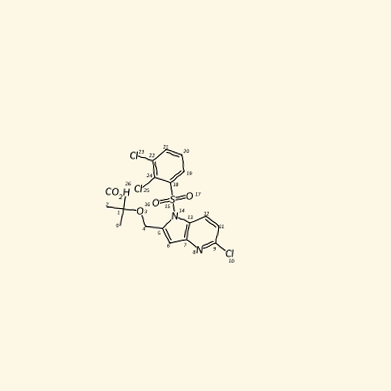 CC(C)(OCc1cc2nc(Cl)ccc2n1S(=O)(=O)c1cccc(Cl)c1Cl)C(=O)O